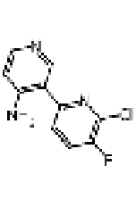 Nc1ccncc1-c1ccc(F)c(Cl)n1